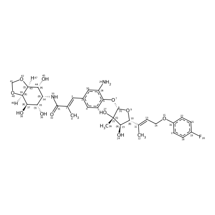 CC(=Cc1ccc(O[C@@H]2O[C@H](C(C)=CCOc3ccc(F)cc3)[C@@H](O)[C@]2(C)O)c(N)c1)C(=O)N[C@@H]1[C@H](O)[C@@H](O)[C@H]2OCO[C@H]2[C@@H]1O